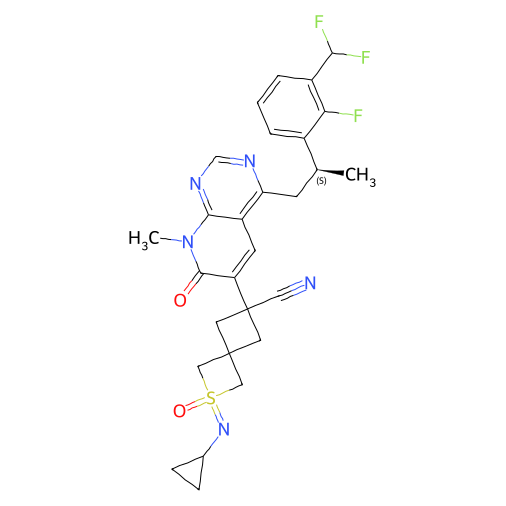 C[C@@H](Cc1ncnc2c1cc(C1(C#N)CC3(C1)CS(=O)(=NC1CC1)C3)c(=O)n2C)c1cccc(C(F)F)c1F